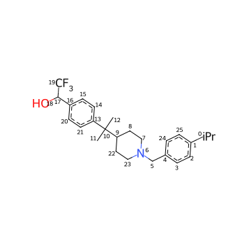 CC(C)c1ccc(CN2CCC(C(C)(C)c3ccc(C(O)C(F)(F)F)cc3)CC2)cc1